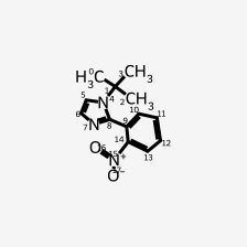 CC(C)(C)n1ccnc1-c1ccccc1[N+](=O)[O-]